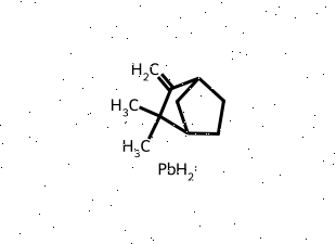 C=C1C2CCC(C2)C1(C)C.[PbH2]